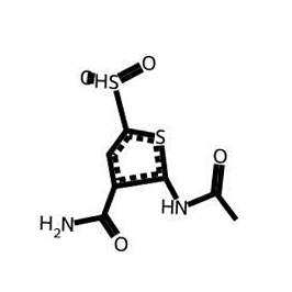 CC(=O)Nc1sc([SH](=O)=O)cc1C(N)=O